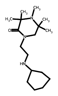 CN1C(C)(C)CN(CCNC2CCCCC2)C(=O)C1(C)C